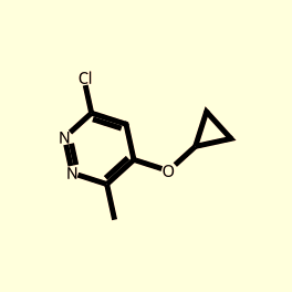 Cc1nnc(Cl)cc1OC1CC1